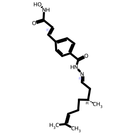 CC(C)=CCC[C@@H](C)C/C=N/NC(=O)c1ccc(/C=C/C(=O)NO)cc1